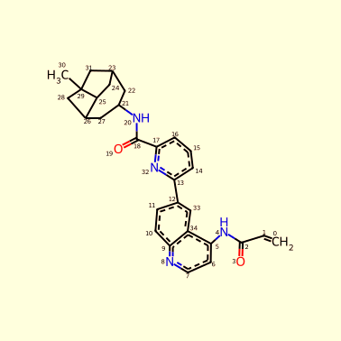 C=CC(=O)Nc1ccnc2ccc(-c3cccc(C(=O)NC4CC5CC6C(C4)CC6(C)C5)n3)cc12